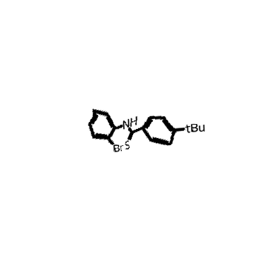 CC(C)(C)c1ccc(C(=S)Nc2ccccc2Br)cc1